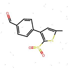 Cc1cc(-c2ccc(C=O)cc2)c([SH](=O)=O)s1